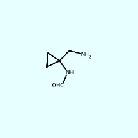 NCC1(NC=O)CC1